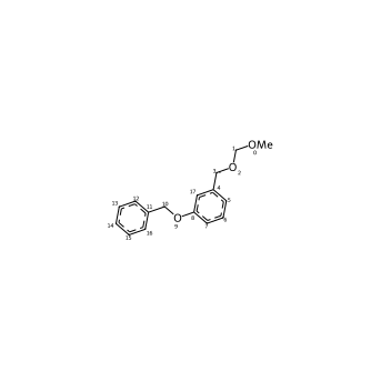 COCO[CH]c1cccc(OCc2ccccc2)c1